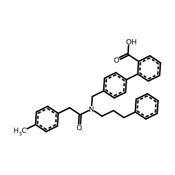 Cc1ccc(CC(=O)N(CCCc2ccccc2)Cc2ccc(-c3ccccc3C(=O)O)cc2)cc1